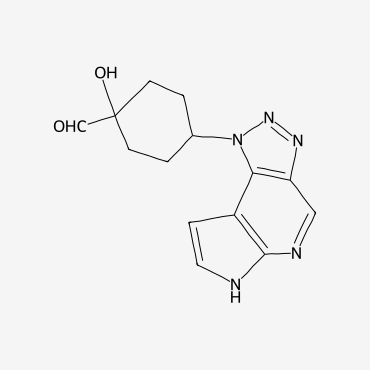 O=CC1(O)CCC(n2nnc3cnc4[nH]ccc4c32)CC1